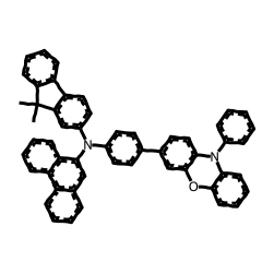 CC1(C)c2ccccc2-c2ccc(N(c3ccc(-c4ccc5c(c4)Oc4ccccc4N5c4ccccc4)cc3)c3cc4ccccc4c4ccccc34)cc21